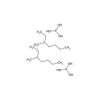 CCCCC(C)CC.CCCCC(C)CC.OP(O)O.OP(O)O